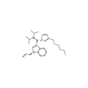 C=CC[C@H]1C=C(B([C@@H]2C=CC(CCCCCC)=C2)N(C(C)C)C(C)C)c2ccccc21